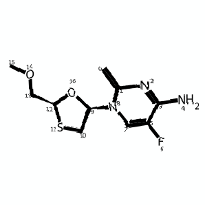 C=C1N=C(N)C(F)=CN1[C@H]1CS[C@@H](COC)O1